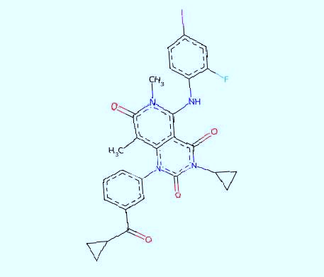 Cc1c(=O)n(C)c(Nc2ccc(I)cc2F)c2c(=O)n(C3CC3)c(=O)n(-c3cccc(C(=O)C4CC4)c3)c12